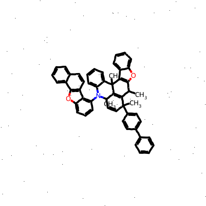 CC1C2=C3C(C)(c4ccccc4N(c4cccc5oc6c7ccccc7ccc6c45)C3(C)C=CC2(C)c2ccc(-c3ccccc3)cc2)c2c1oc1ccccc21